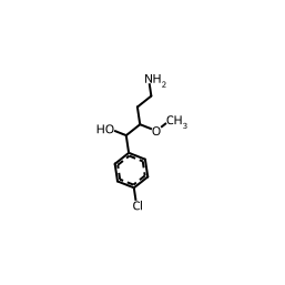 COC(CCN)C(O)c1ccc(Cl)cc1